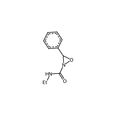 CCNC(=O)N1OC1c1ccccc1